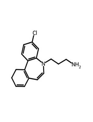 NCCCN1C=CC2=C(CCC=C2)c2ccc(Cl)cc21